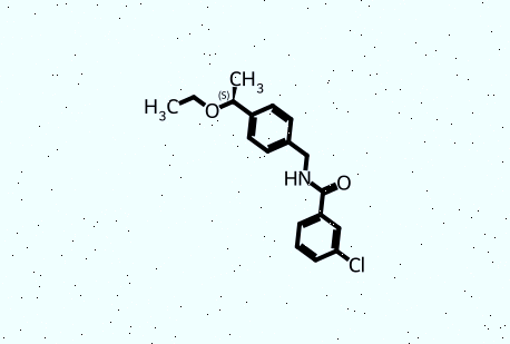 CCO[C@@H](C)c1ccc(CNC(=O)c2cccc(Cl)c2)cc1